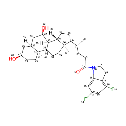 C[C@H](CCC(=O)N1CCc2c(F)cc(F)cc21)[C@H]1CC[C@H]2[C@@H]3[C@H](O)C[C@@H]4C[C@H](O)CC[C@]4(C)[C@H]3CC[C@]12C